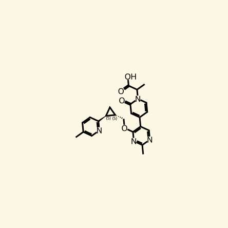 Cc1ccc([C@H]2C[C@@H]2COc2nc(C)ncc2-c2ccn(C(C)C(=O)O)c(=O)c2)nc1